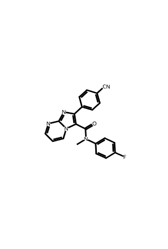 CN(C(=O)c1c(-c2ccc(C#N)cc2)nc2ncccn12)c1ccc(F)cc1